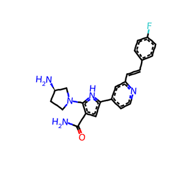 NC(=O)c1cc(-c2ccnc(/C=C/c3ccc(F)cc3)c2)[nH]c1N1CC[C@@H](N)C1